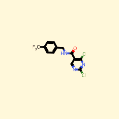 O=C(NCc1ccc(C(F)(F)F)cc1)c1cnc(Cl)nc1Cl